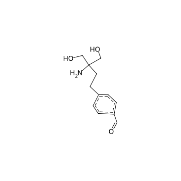 NC(CO)(CO)CCc1ccc(C=O)cc1